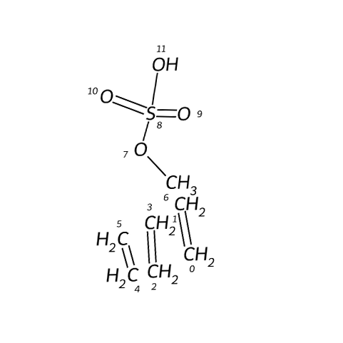 C=C.C=C.C=C.COS(=O)(=O)O